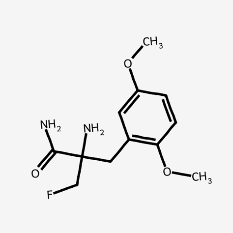 COc1ccc(OC)c(CC(N)(CF)C(N)=O)c1